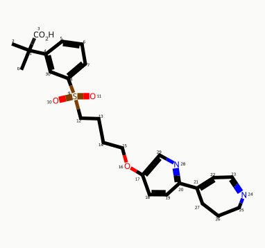 CC(C)(C(=O)O)c1cccc(S(=O)(=O)CCCCOc2ccc(C3=CC=NCCC3)nc2)c1